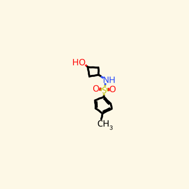 Cc1ccc(S(=O)(=O)NC2CC(O)C2)cc1